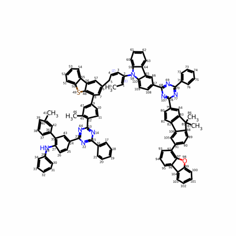 C/C=C(\C=C/Cc1cc(-c2ccc(-c3nc(-c4ccccc4)nc(-c4ccc(Nc5ccccc5)c(-c5cccc(C)c5)c4)n3)c(C)c2)c2sc3ccccc3c2c1)n1c2ccccc2c2cc(-c3nc(-c4ccccc4)nc(-c4ccc5c(c4)C(C)(C)c4ccc(-c6cccc7c6oc6ccccc67)cc4-5)n3)ccc21